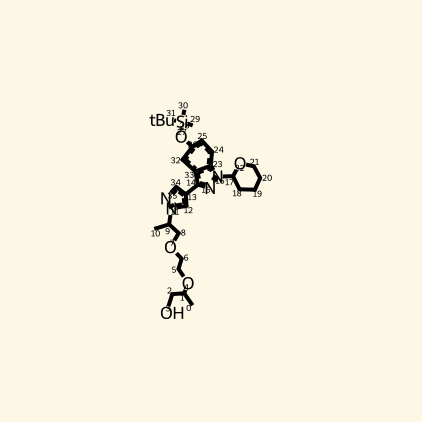 CC(CO)OCCOCC(C)n1cc(-c2nn(C3CCCCO3)c3ccc(O[Si](C)(C)C(C)(C)C)cc23)cn1